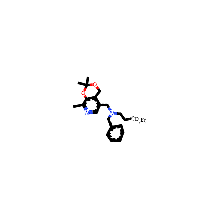 CCOC(=O)CCN(Cc1ccccc1)Cc1cnc(C)c2c1COC(C)(C)O2